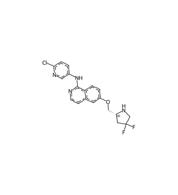 FC1(F)CN[C@@H](COc2ccc3c(Nc4ccc(Cl)nc4)nccc3c2)C1